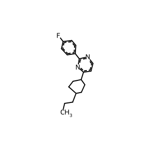 CCCC1CCC(c2ccnc(-c3ccc(F)cc3)n2)CC1